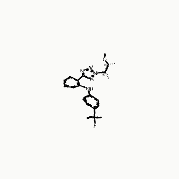 CO[C@H](C)[C@H](C)n1nnc(-c2ccccc2Nc2ccc(C(C)(C)F)cc2)n1